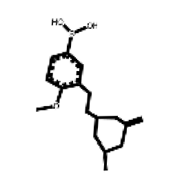 C=C1CC(C)CC(CCc2cc(B(O)O)ccc2OC)C1